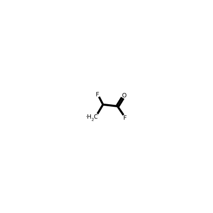 [CH2]C(F)C(=O)F